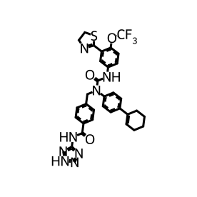 O=C(Nc1nn[nH]n1)c1ccc(CN(C(=O)Nc2ccc(OC(F)(F)F)c(C3=NCCS3)c2)c2ccc(C3=CCCCC3)cc2)cc1